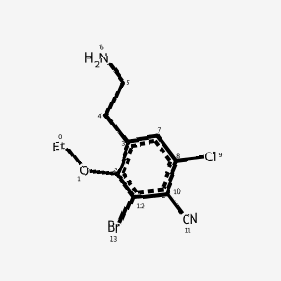 CCOc1c(CCN)cc(Cl)c(C#N)c1Br